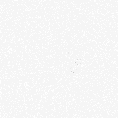 O=C(CN1CCOCC1)NCCCCC(NC(=O)OCC1c2ccccc2-c2ccccc21)C(=O)O